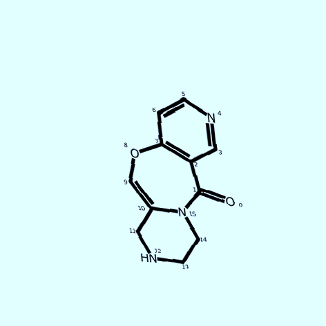 O=C1c2cnccc2OC=C2CNCCN12